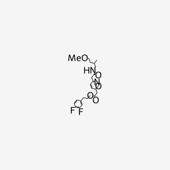 COCCC(C)CNC(=O)CC1=NOC(CC(=O)OCCc2ccc(F)c(F)c2)C=C1